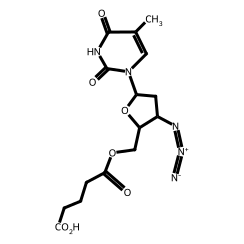 Cc1cn(C2CC(N=[N+]=[N-])C(COC(=O)CCCC(=O)O)O2)c(=O)[nH]c1=O